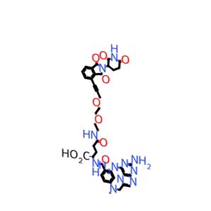 CN(Cc1cnc2nc(N)nc(N)c2n1)c1ccc(C(=O)N[C@@H](CCC(=O)NCCOCCOCC#Cc2cccc3c2C(=O)N(C2CCC(=O)NC2=O)C3=O)C(=O)O)cc1